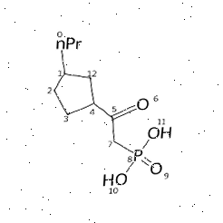 CCCC1CCC(C(=O)CP(=O)(O)O)C1